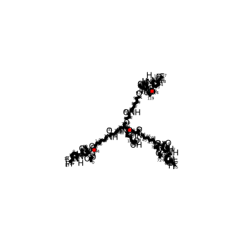 CC(=O)O[C@@H]1[C@@H](Nc2cccc(C(F)(F)F)n2)[C@H]2OC[C@](COCCCCCCNC(=O)CCOCC(COCCC(=O)NCCCCCCOC[C@@]34CO[C@@H](O3)[C@H](Nc3cccc(C(F)(F)F)n3)[C@@H](OC(C)=O)[C@H]4OC(C)=O)(COCCC(=O)NCCCCCCOC[C@@]34CO[C@@H](O3)[C@H](Nc3cccc(C(F)(F)F)n3)[C@@H](OC(C)=O)[C@H]4OC(C)=O)NC(=O)CCCC(=O)O)(O2)[C@@H]1OC(C)=O